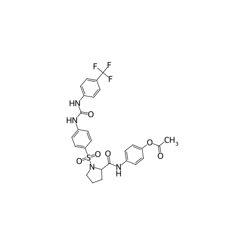 CC(=O)Oc1ccc(NC(=O)C2CCCN2S(=O)(=O)c2ccc(NC(=O)Nc3ccc(C(F)(F)F)cc3)cc2)cc1